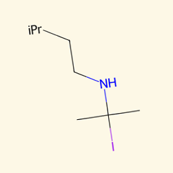 CC(C)CCNC(C)(C)I